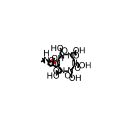 CC(C)(C)Nc1ccc(CC2CN(CC(=O)O)CCN(CC(=O)O)CCN(CC(=O)O)CCN(CC(=O)O)CCN(CC(=O)O)CCN2CC(=O)O)cc1